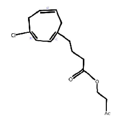 CC(=O)CCOC(=O)CCC/C1=C/C=C(/Cl)C/C=C\C1